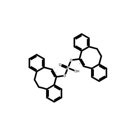 O=P(O)(O/C1=C/c2ccccc2CCc2ccccc21)O/C1=C/c2ccccc2CCc2ccccc21